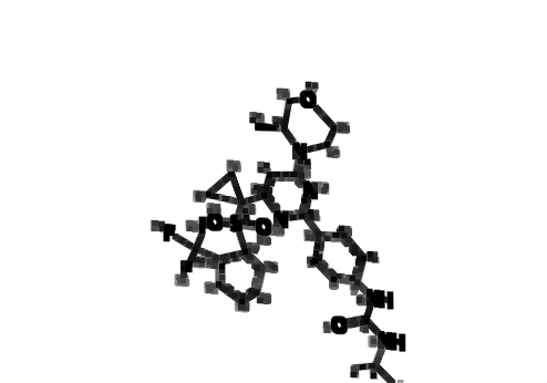 CC(C)NC(=O)Nc1ccc(-c2nc(N3CCOC[C@@H]3C)cc(C3(S(=O)(=O)c4ccccc4C(F)(F)F)CC3)n2)cc1